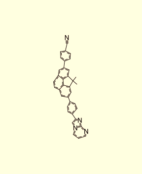 CC1(C)c2cc(-c3ccc(C#N)cc3)cc3ccc4cc(-c5ccc(-c6cn7cccnc7n6)cc5)cc1c4c23